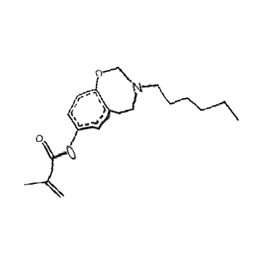 C=C(C)C(=O)Oc1ccc2c(c1)CN(CCCCCC)CO2